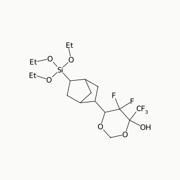 CCO[Si](OCC)(OCC)C1CC2CC1CC2C1OCOC(O)(C(F)(F)F)C1(F)F